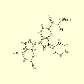 CCCCCC(CC)C(=O)c1cc2c(cn1)c(-c1cnc3c(F)cc(F)cn13)nn2C1CCCCO1